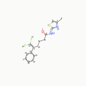 Cc1csc(NC(=O)CCCC(=C(F)F)c2ccccc2)n1